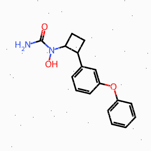 NC(=O)N(O)C1CCC1c1cccc(Oc2ccccc2)c1